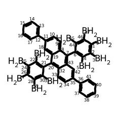 Bc1c(B)c(B)c(-c2c3ccc(-c4ccccc4)cc3c(-c3c(B)c(B)c(B)c(B)c3B)c3ccc(-c4ccccc4)cc23)c(B)c1B